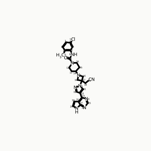 Cc1ccc(Cl)cc1NC(=O)N1CCC(N2CC(CC#N)(n3cc(-c4ncnc5[nH]ccc45)cn3)C2)CC1